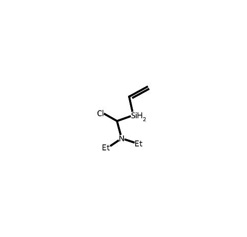 C=C[SiH2]C(Cl)N(CC)CC